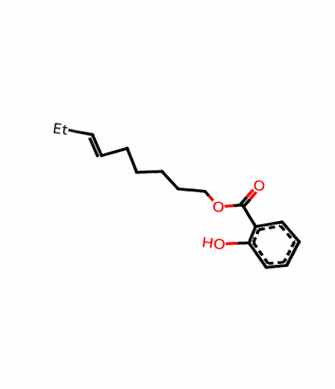 CCC=CCCCCCOC(=O)c1ccccc1O